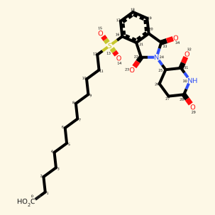 O=C(O)CCCCCCCCCCCCS(=O)(=O)c1cccc2c1C(=O)N(C1CCC(=O)NC1=O)C2=O